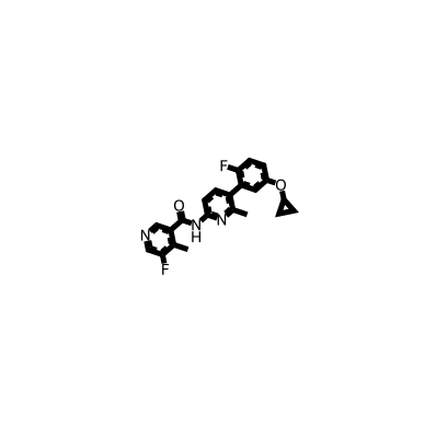 Cc1nc(NC(=O)c2cncc(F)c2C)ccc1-c1cc(OC2CC2)ccc1F